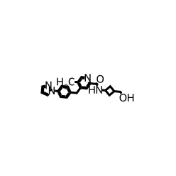 Cc1cnc(C(=O)NC2CC(CO)C2)cc1Cc1ccc(-n2cccn2)cc1